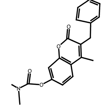 Cc1c(Cc2ccccc2)c(=O)oc2cc(OC(=O)N(C)C)ccc12